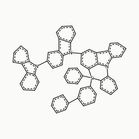 c1ccc(-c2cccc([Si]3(c4ccccc4)c4ccccc4-n4c5ccccc5c5cc(-n6c7ccccc7c7cc(-n8c9ccccc9c9ccccc98)ccc76)cc3c54)c2)cc1